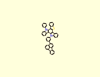 c1ccc(-n2c3ccccc3c3c4c(c5ccccc5n4-c4cccc(-c5ccc6c7c(cccc57)-c5ccccc5-6)c4)c4sc5ccccc5c4c32)cc1